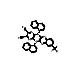 N#Cc1nc2c(nc1C#N)N(c1cccc3ccccc13)c1nc3cc(C(F)(F)F)ccc3nc1N2c1cccc2ccccc12